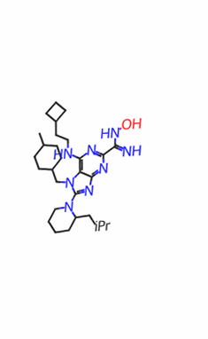 CC(C)CC1CCCCN1c1nc2nc(C(=N)NO)nc(NCCC3CCC3)c2n1CC1CCC(C)CC1